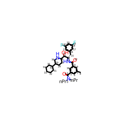 CCCN(CCC)C(=O)c1cc(C)cc(C(=O)N[C@@H](Cc2cc(F)cc(F)c2)C(O)C2CCC(C3CCCCC3)CN2)c1